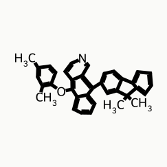 Cc1ccc(Oc2c3ccccc3c(-c3ccc4c(c3)C(C)(C)c3ccccc3-4)c3cnccc23)c(C)c1